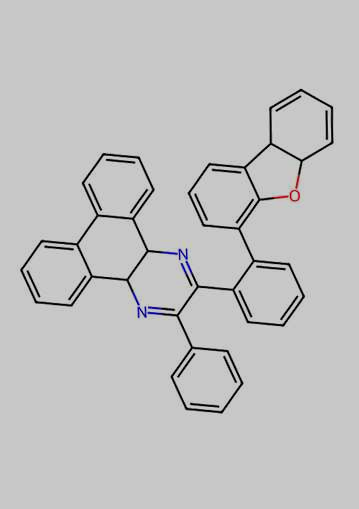 C1=CC2Oc3c(-c4ccccc4C4=NC5c6ccccc6-c6ccccc6C5N=C4c4ccccc4)cccc3C2C=C1